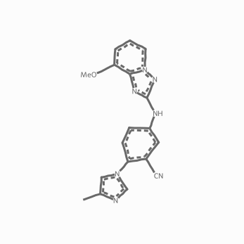 COc1cccn2nc(Nc3ccc(-n4cnc(C)c4)c(C#N)c3)nc12